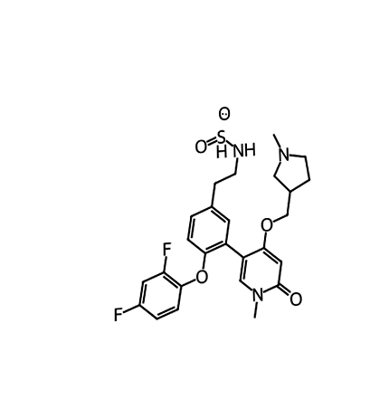 CN1CCC(COc2cc(=O)n(C)cc2-c2cc(CCN[SH](=O)=O)ccc2Oc2ccc(F)cc2F)C1